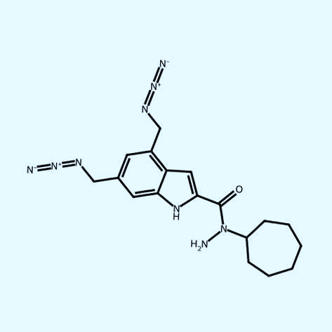 [N-]=[N+]=NCc1cc(CN=[N+]=[N-])c2cc(C(=O)N(N)C3CCCCCC3)[nH]c2c1